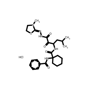 CC(C)CC(NC(=O)C1(NC(=O)c2ccccc2)CCCCC1)C(=O)C(=O)NN=C1SCCN1C.Cl